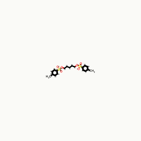 Cc1ccc(S(=O)(=O)OCCCCCOS(=O)(=O)c2ccc(C)cc2)cc1